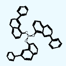 c1ccc(-c2ccc3cccc(OP(Oc4cccc5ccc(-c6ccccc6)cc45)Oc4cccc5ccc(-c6ccccc6)cc45)c3c2)cc1